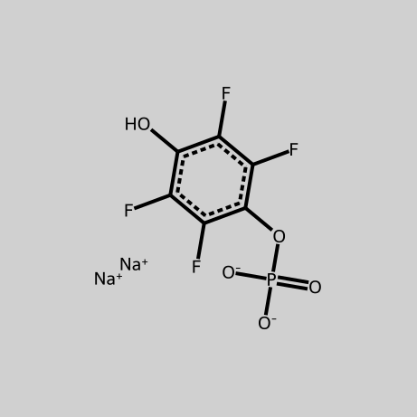 O=P([O-])([O-])Oc1c(F)c(F)c(O)c(F)c1F.[Na+].[Na+]